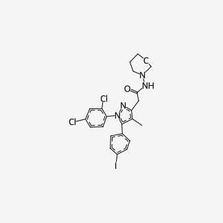 Cc1c(CC(=O)NN2CCCCC2)nn(-c2ccc(Cl)cc2Cl)c1-c1ccc(I)cc1